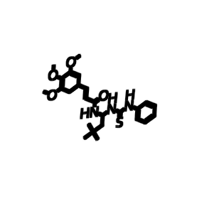 COC1=CC(/C=C/C(=O)NC(CC(C)(C)C)NC(=S)Nc2ccccc2)CC(OC)=C1OC